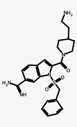 N=C(N)c1ccc2cc(C(=O)N3CCC(CCN)CC3)n(S(=O)(=O)Cc3ccccc3)c2c1